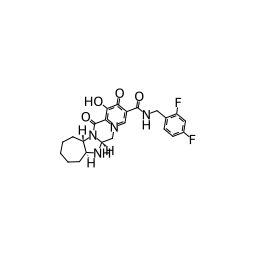 O=C(NCc1ccc(F)cc1F)c1cn2c(c(O)c1=O)C(=O)N1[C@H](C2)N[C@H]2CCCCC[C@@H]21